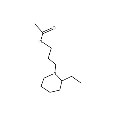 CCC1CCCCN1CCCNC(C)=O